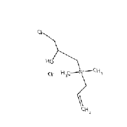 C=CC[N+](C)(C)CC(O)CCl.[Cl-]